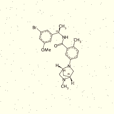 COc1cc(Br)cc([C@@H](C)NC(=O)c2cc(N3C[C@H]4C[C@@H]3CN4C)ccc2C)c1